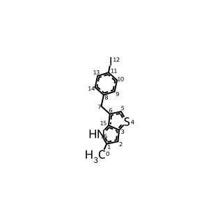 Cc1cc2scc(Cc3ccc(I)cc3)c2[nH]1